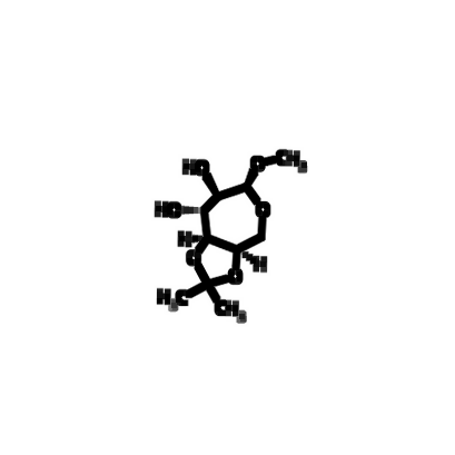 CO[C@H]1OC[C@H]2OC(C)(C)O[C@H]2[C@H](O)[C@H]1O